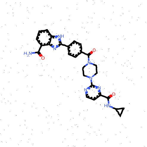 NC(=O)c1cccc2[nH]c(-c3ccc(C(=O)N4CCN(c5nccc(C(=O)NC6CC6)n5)CC4)cc3)nc12